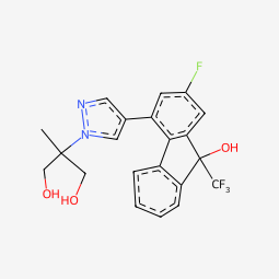 CC(CO)(CO)n1cc(-c2cc(F)cc3c2-c2ccccc2C3(O)C(F)(F)F)cn1